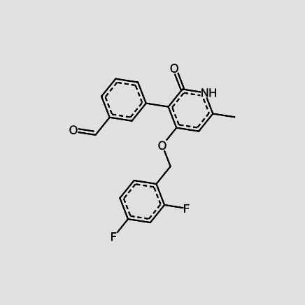 Cc1cc(OCc2ccc(F)cc2F)c(-c2cccc(C=O)c2)c(=O)[nH]1